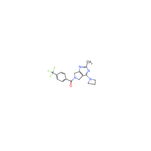 Cc1nc2c(c(N3CCC3)n1)CN(C(=O)c1ccc(C(F)(F)F)cc1)C2